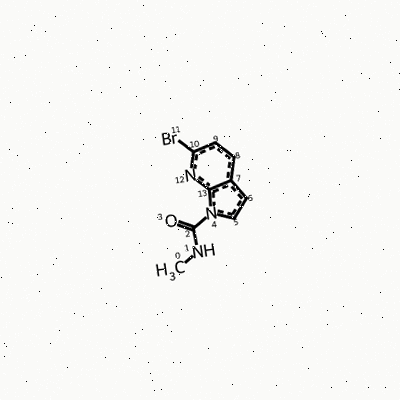 CNC(=O)n1ccc2ccc(Br)nc21